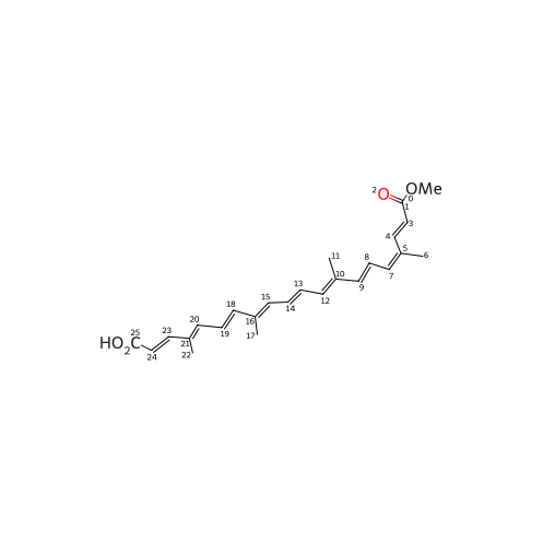 COC(=O)/C=C/C(C)=C\C=C\C(C)=C\C=C\C=C(C)\C=C\C=C(C)\C=C\C(=O)O